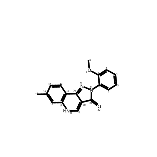 COc1ccccc1-n1nc2c3ccc(C)cc3[nH]cc-2c1=O